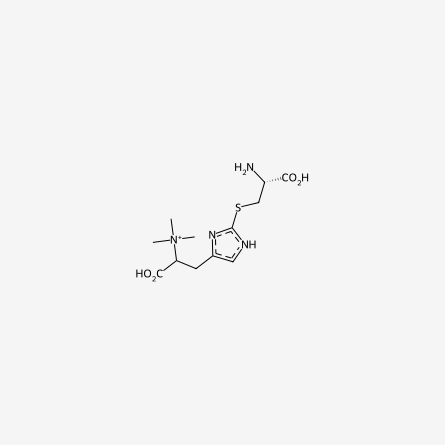 C[N+](C)(C)C(Cc1c[nH]c(SC[C@H](N)C(=O)O)n1)C(=O)O